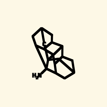 NC12C3CC4CC5C3CC3C6CC(CC31)CC2(C4)C56